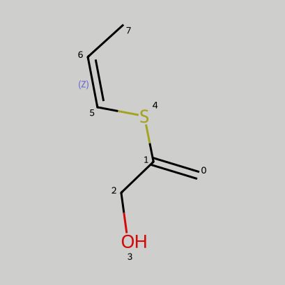 C=C(CO)S/C=C\C